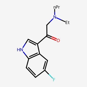 CCCN(CC)CC(=O)c1c[nH]c2ccc(F)cc12